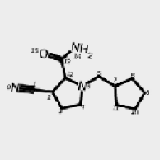 N#C[C]1CCN(CC2CCCC2)C1C(N)=O